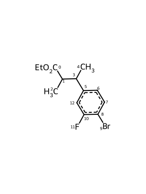 CCOC(=O)C(C)C(C)c1ccc(Br)c(F)c1